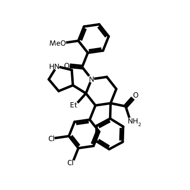 CCC1(C2CCNC2)C(c2ccc(Cl)c(Cl)c2)C(C(N)=O)(c2ccccc2)CCN1C(=O)c1ccccc1OC